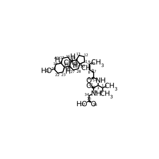 CC(C)C(NC(=O)CCC(C)[C@H]1CC[C@H]2[C@@H]3CC[C@@H]4C[C@H](O)CC[C@]4(C)[C@H]3CC[C@]12C)C(=O)NCC(=O)O